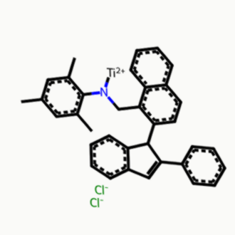 Cc1cc(C)c([N]([Ti+2])Cc2c(C3C(c4ccccc4)=Cc4ccccc43)ccc3ccccc23)c(C)c1.[Cl-].[Cl-]